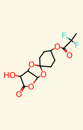 CC(F)(F)C(=O)OC1CCC2(CC1)OC1OC(=O)C(O)C1O2